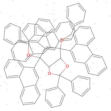 c1ccc(COC(c2cc3ccccc3c3ccccc23)(c2cc3ccccc3c3ccccc23)C2OC(c3ccccc3)(c3ccccc3)OC2C(OCc2ccccc2)(c2cc3ccccc3c3ccccc23)c2cc3ccccc3c3ccccc23)cc1